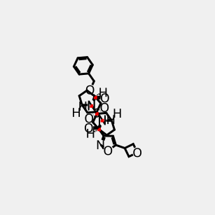 O=C(NC1C[C@H]2CC[C@@H](C1)N2S(=O)(=O)N1[C@@H]2CC[C@H]1CC(NC(=O)c1cc(C3COC3)on1)C2)OCc1ccccc1